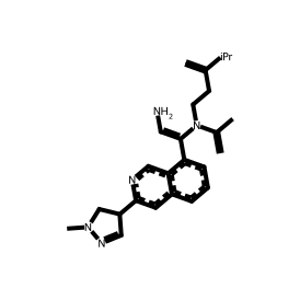 C=C(CCN(C(=C)C)/C(=C\N)c1cccc2cc(C3C=NN(C)C3)ncc12)C(C)C